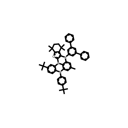 Cc1cc2c3c(c1)N(c1cc(-c4ccccc4)cc(-c4ccccc4)c1)c1c(oc4c1C(C)(C)CCC4(C)C)B3c1cc(C(C)(C)C)ccc1N2c1ccc(C(C)(C)C)cc1